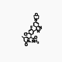 Cc1cc(C(C(N)=O)c2cc(-c3ncnc4cc(N5CCOCC5)ccc34)c(F)cc2Cl)n(C)c(=O)c1